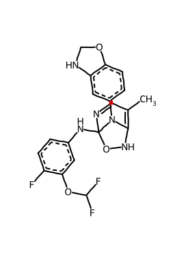 CC1=C2NOC(Nc3ccc(F)c(OC(F)F)c3)(N=C1)N2c1ccc2c(c1)NCO2